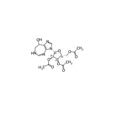 CC(=O)OC[C@H]1O[C@@H](n2cnc3c2N=CNCC3O)[C@H](OC(C)=O)[C@@H]1OC(C)=O